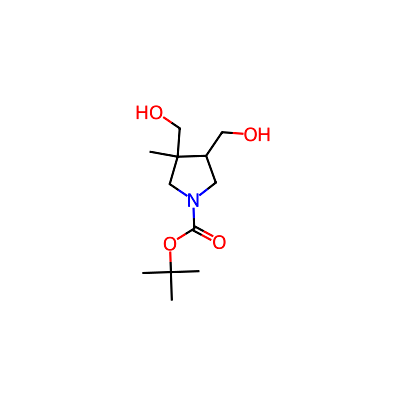 CC(C)(C)OC(=O)N1CC(CO)C(C)(CO)C1